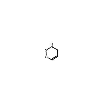 C1=COSNC1